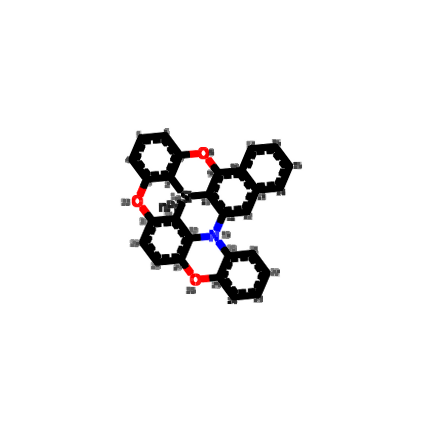 CCC[Si]12c3c4cccc3Oc3c1c(cc1ccccc31)N1c3ccccc3Oc3ccc(c2c31)O4